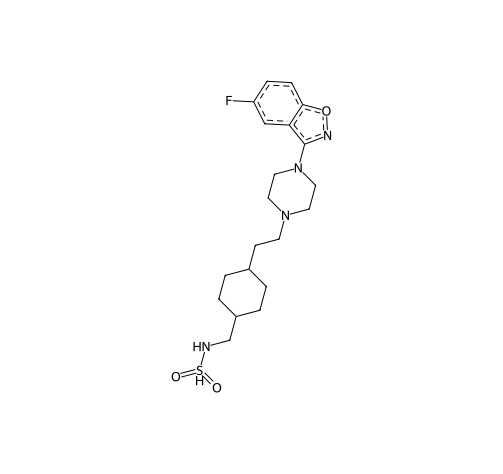 O=[SH](=O)NCC1CCC(CCN2CCN(c3noc4ccc(F)cc34)CC2)CC1